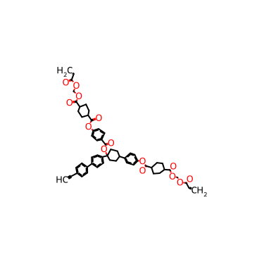 C#Cc1ccc(-c2ccc(C3(OC(=O)c4ccc(OC(=O)C5CCC(C(=O)OCOC(=O)C=C)CC5)cc4)CCC(c4ccc(OC(=O)C5CCC(C(=O)OCOC(=O)C=C)CC5)cc4)CC3)cc2)cc1